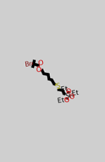 CCO[Si](CCCSCCCCCCOC(=O)C(C)(C)Br)(OCC)OCC